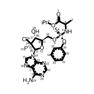 CC(C)OC(=O)C(C)NP(=S)(OC[C@H]1O[C@@H](n2cnc3c(N)ncnc32)[C@@](F)(Cl)[C@@H]1O)Oc1ccccc1